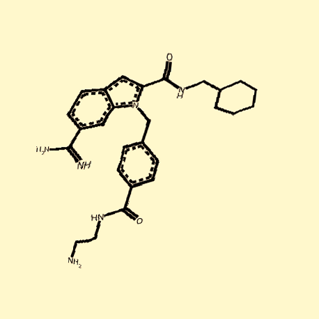 N=C(N)c1ccc2cc(C(=O)NCC3CCCCC3)n(Cc3ccc(C(=O)NCCN)cc3)c2c1